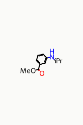 COC(=O)c1cccc(NC(C)C)c1